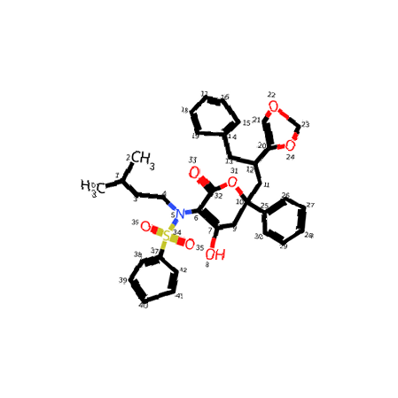 CC(C)CCN(C1=C(O)CC(CC(Cc2ccccc2)C2=COCO2)(c2ccccc2)OC1=O)S(=O)(=O)c1ccccc1